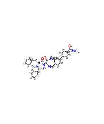 CN1C(=O)C(NC(=O)[C@@H](Cc2ccccc2)N2Cc3ccccc3C2)N=Cc2ccc(-c3ccc(C(N)=O)cc3)cc21